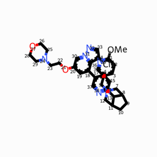 COc1ccc(CN2CC3CCC(C2)C3c2ccc(-c3cc(OCCN4CCOCC4)cn4ncc(C#N)c34)cn2)cn1